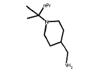 CCCC(C)(C)N1CCC(CN)CC1